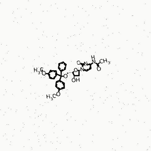 COc1ccc(C(OC[C@@H]2O[C@H](n3ccc(NC(C)=O)nc3=O)C[C@H]2O)(c2ccccc2)c2ccc(OC)cc2)cc1